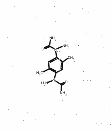 Cc1cc(N(N)C(N)=O)c(C)cc1N(N)C(N)=O